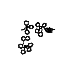 C=CC[P+](c1ccccc1)(c1ccccc1)c1ccccc1.C=CCc1ccccc1[P+](Cc1ccccc1)(c1ccccc1)c1ccccc1.[Br-].[Cl-].[Cl-].c1ccc(C[P+](c2ccccc2)(c2ccccc2)c2ccccc2Cc2cccc3ccccc23)cc1